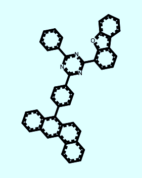 c1ccc(-c2nc(-c3ccc(-c4c5ccccc5cc5c4ccc4ccccc45)cc3)nc(-c3cccc4c3oc3ccccc34)n2)cc1